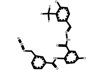 [N-]=[N+]=NCc1cccc(C(=O)Nc2ccc(Cl)cc2C(=O)NN=Cc2ccc(Cl)c(C(F)(F)F)c2)c1